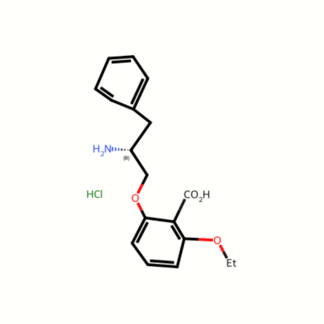 CCOc1cccc(OC[C@H](N)Cc2ccccc2)c1C(=O)O.Cl